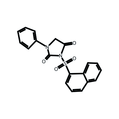 O=C1CN(c2ccccc2)C(=O)N1S(=O)(=O)c1cccc2ccccc12